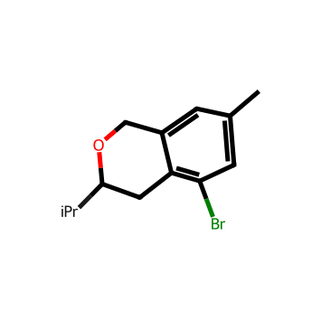 Cc1cc(Br)c2c(c1)COC(C(C)C)C2